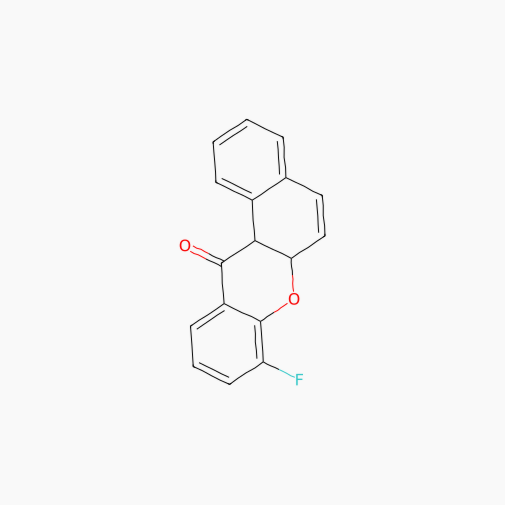 O=C1c2cccc(F)c2OC2C=Cc3ccccc3C12